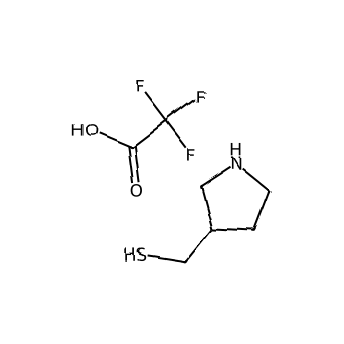 O=C(O)C(F)(F)F.SCC1CCNC1